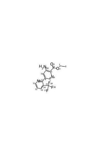 CCOC(=O)c1ncc(-c2ncccc2C(F)(F)F)cc1N